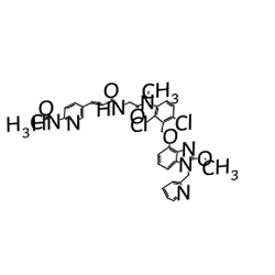 COc1nc2c(OCc3c(Cl)ccc(N(C)C(=O)CNC(=O)C=Cc4ccc(NC(C)=O)nc4)c3Cl)cccc2n1Cc1ccccn1